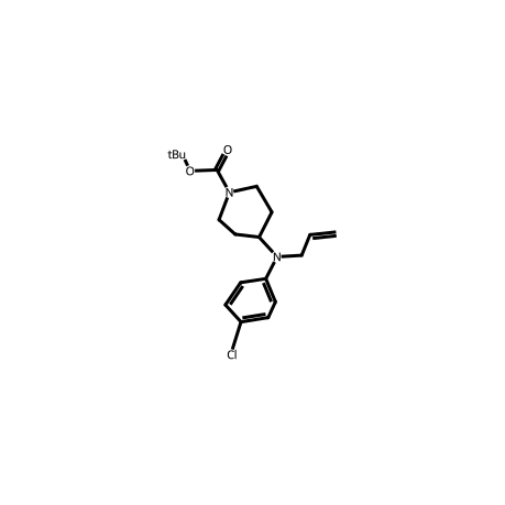 C=CCN(c1ccc(Cl)cc1)C1CCN(C(=O)OC(C)(C)C)CC1